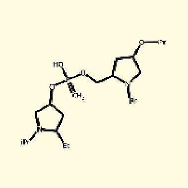 C=P(O)(OCC1CC(OC(C)C)CN1C(C)C)OC1CC(CC)N(C(C)C)C1